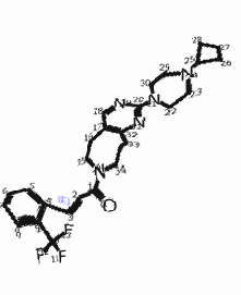 O=C(/C=C/c1ccccc1C(F)(F)F)N1CCc2cnc(N3CCN(C4CCC4)CC3)nc2CC1